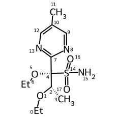 CCO[C@@H](C)[C@@](OCC)(c1ncc(C)cn1)S(N)(=O)=O